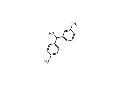 Cc1ccc(C(O)c2cccc(C)c2)cc1